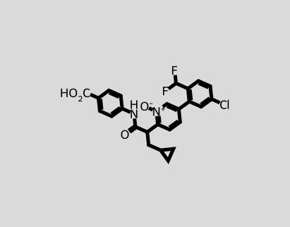 O=C(O)c1ccc(NC(=O)C(CC2CC2)c2ccc(-c3cc(Cl)ccc3C(F)F)c[n+]2[O-])cc1